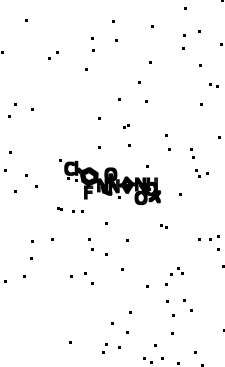 CC(C)(C)OC(=O)NC12CC(N3CCN(c4ccc(Cl)cc4F)C3=O)(C1)C2